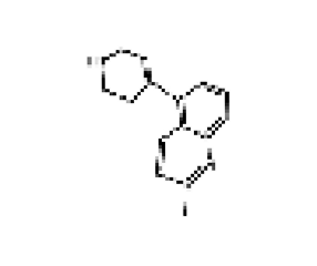 Cc1ccc2c(C3=CCNCC3)cccc2n1